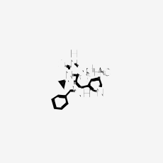 CC(=O)c1cncc(-c2[nH]c(-c3ccccc3)nc2C2(OC=O)NNC(=O)N2C2CC2)c1